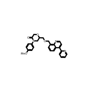 COc1ccc(N2CC(COCc3cccc4c(-c5ccccn5)ccnc34)OCC2=O)cc1